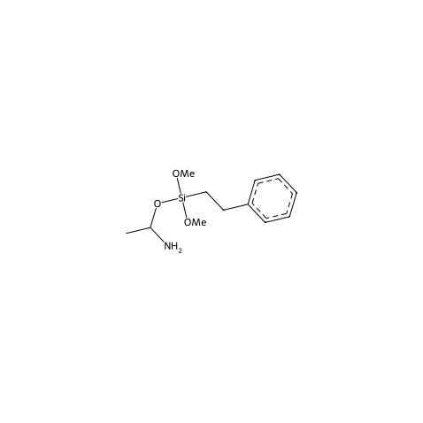 CO[Si](CCc1ccccc1)(OC)OC(C)N